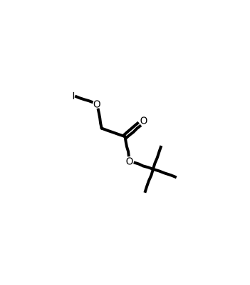 CC(C)(C)OC(=O)COI